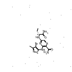 CC[C@@H](Nc1cnc(C(N)=O)c(Nc2snc(C)c2Br)n1)C(N)=O